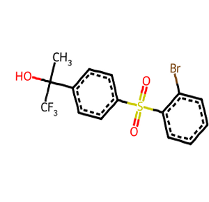 CC(O)(c1ccc(S(=O)(=O)c2ccccc2Br)cc1)C(F)(F)F